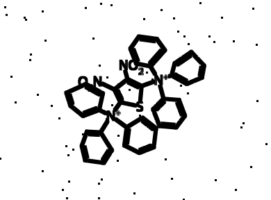 O=[N+]([O-])c1c([N+](c2ccccc2)(c2ccccc2)c2ccccc2)sc([N+](c2ccccc2)(c2ccccc2)c2ccccc2)c1[N+](=O)[O-]